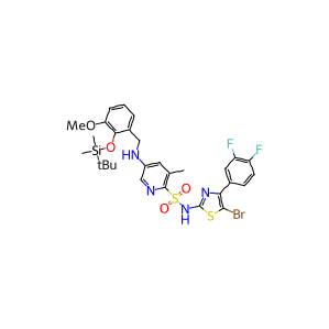 COc1cccc(CNc2cnc(S(=O)(=O)Nc3nc(-c4ccc(F)c(F)c4)c(Br)s3)c(C)c2)c1O[Si](C)(C)C(C)(C)C